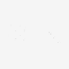 O=C=Nc1ccc(OC(F)(F)C(F)(F)Cl)c(Cl)c1